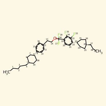 CCCCC[C@H]1CC[C@H](c2ccc(CCOC(F)(F)c3ccc([C@H]4CC[C@H](CCC)CC4)c(F)c3F)cc2)CC1